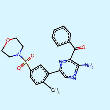 Cc1ccc(S(=O)(=O)N2CCOCC2)cc1-c1cnc(N)c(C(=O)c2ccccc2)n1